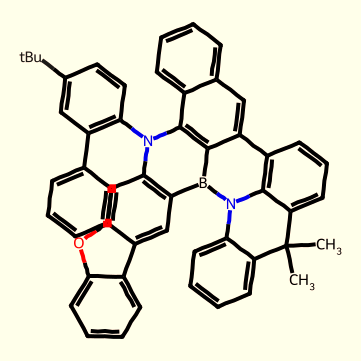 CC(C)(C)c1ccc(N2c3cc4oc5ccccc5c4cc3B3c4c(cc5ccccc5c42)-c2cccc4c2N3c2ccccc2C4(C)C)c(-c2ccccc2)c1